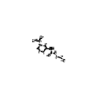 O=C(Nc1cccc(C(=O)Cl)c1)OCCCl